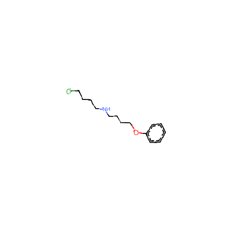 ClCCCCNCCCCOc1ccccc1